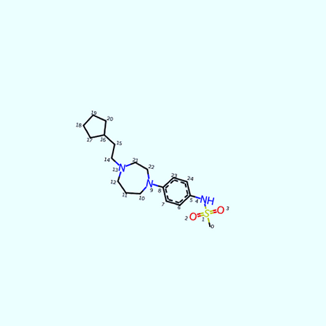 CS(=O)(=O)Nc1ccc(N2CCCN(CCC3CCCC3)CC2)cc1